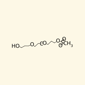 CS(=O)(=O)OCCCOCCCOCCCO